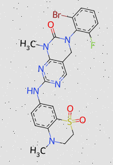 CN1CCS(=O)(=O)c2cc(Nc3ncc4c(n3)N(C)C(=O)N(c3c(F)cccc3Br)C4)ccc21